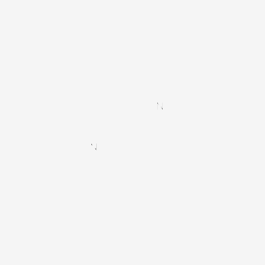 CC(C)N1CC[C@@]2(C)CCN(C(C)C)[C@@]2(C)C1